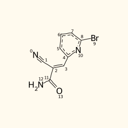 N#C/C(=C\c1cccc(Br)n1)C(N)=O